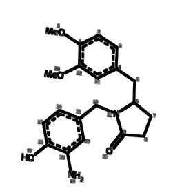 COc1ccc(CC2CCC(=O)N2Cc2ccc(O)c(N)c2)cc1OC